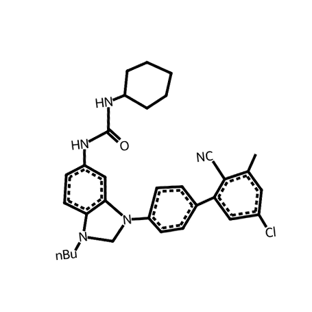 CCCCN1CN(c2ccc(-c3cc(Cl)cc(C)c3C#N)cc2)c2cc(NC(=O)NC3CCCCC3)ccc21